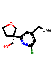 COCc1cc(Br)nc([C@@]2(CO)CCOC2)c1